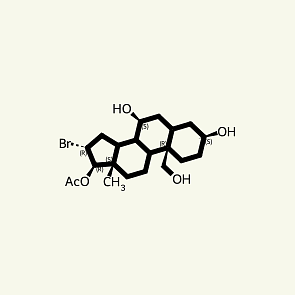 CC(=O)O[C@H]1[C@H](Br)CC2C3C(CC[C@@]21C)[C@@]1(CO)CC[C@H](O)CC1C[C@@H]3O